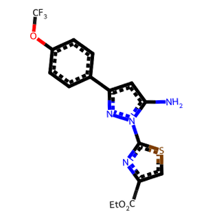 CCOC(=O)c1csc(-n2nc(-c3ccc(OC(F)(F)F)cc3)cc2N)n1